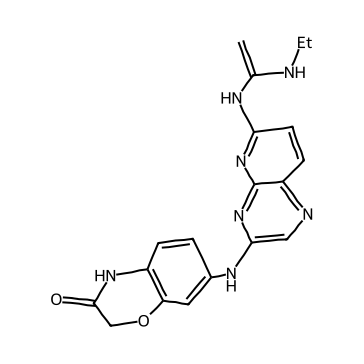 C=C(NCC)Nc1ccc2ncc(Nc3ccc4c(c3)OCC(=O)N4)nc2n1